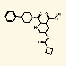 O=C(NO)C1CC(OC(=O)N2CCC2)CNC1C(=O)N1CCC(c2ccccc2)CC1